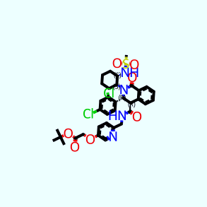 CC(C)(C)OC(=O)COc1ccc(CNC(=O)[C@@H]2c3ccccc3C(=O)N([C@H]3CCCC[C@@H]3NS(C)(=O)=O)[C@H]2c2ccc(Cl)cc2Cl)nc1